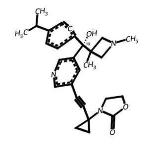 CC(C)c1ccc([C@](O)(c2cncc(C#CC3(N4CCOC4=O)CC3)c2)C2(C)CN(C)C2)cc1